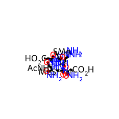 CSCC[C@H](NC(=O)[C@H](CCCNC(=N)N)NC(=O)[C@H](CCSC)NC(=O)[C@H](CCC(=O)O)NC(=O)[C@H](CCC(N)=O)NC(C)=O)C(=O)N[C@@H](CCC(=O)O)C(N)=O